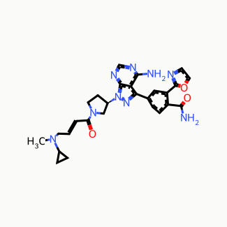 CN(C/C=C/C(=O)N1CC[C@@H](n2nc(-c3ccc(C(N)=O)c(-c4ncco4)c3)c3c(N)ncnc32)C1)C1CC1